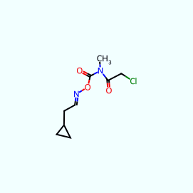 CN(C(=O)CCl)C(=O)ON=CCC1CC1